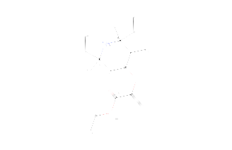 C=C(OC1CC(C)(CC)NC(C)(CC)C1C)C(=O)OCC